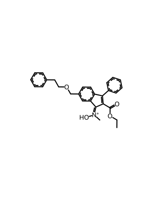 CCOC(=O)C1=C(c2ccccc2)c2ccc(COCCc3ccccc3)cc2/C1=[N+](/C)O